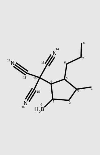 BC1CC(C)C(CCC)C1C(C#N)(C#N)C#N